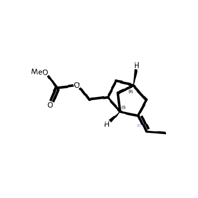 C/C=C1\C[C@H]2CC(COC(=O)OC)[C@@H]1C2